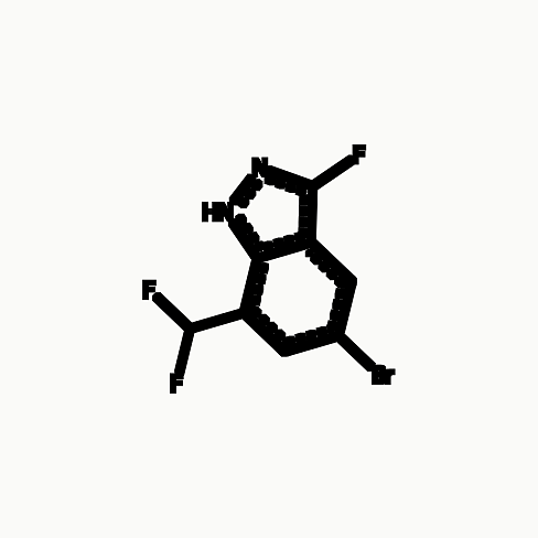 Fc1n[nH]c2c(C(F)F)cc(Br)cc12